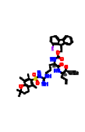 C=CC[C@@H](NC(=O)[C@@H](CCCNC(=N)NS(=O)(=O)c1c(C)c(C)c2c(c1C)CCC(C)(C)O2)NC(=O)OCC1c2ccccc2-c2cccc(I)c21)C(=O)OC